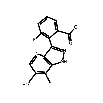 Cc1c(O)cnc2c(-c3c(F)cccc3C(=O)O)n[nH]c12